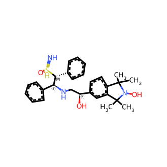 CC1(C)c2ccc([C@@H](O)CN[C@@H](c3ccccc3)[C@@H](c3ccccc3)[SH](=N)=O)cc2C(C)(C)N1O